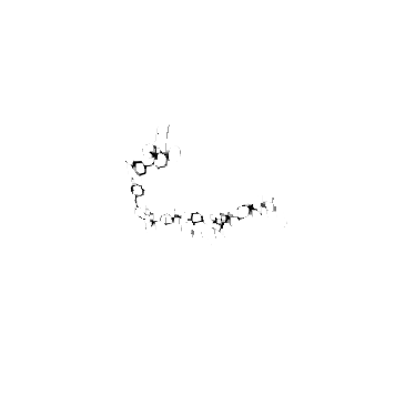 CC1(N)CCN(c2cnc(Sc3cccc(NC(=O)C4CCC(C(=O)N5CCN(CC6CCN(c7cc(C8CCC(=O)NC8=O)ccn7)CC6)CC5)CC4)c3Cl)c(N)n2)CC1